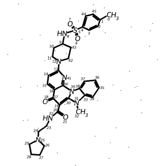 Cc1ccc(S(=O)(=O)NC2CCN(c3ccc4c(=O)c(C(=O)NCCN5CCCC5)c5n(C)c6ccccc6n5c4n3)CC2)cc1